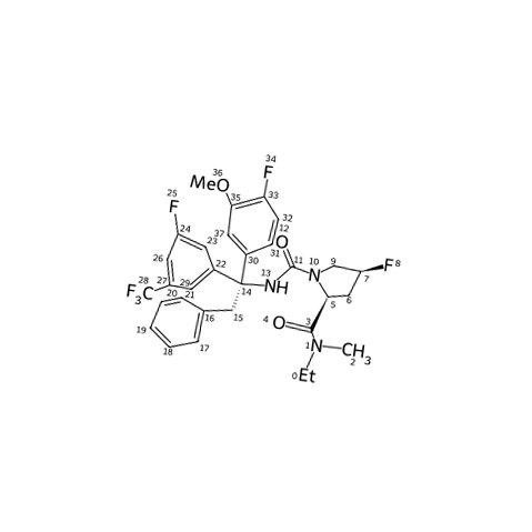 CCN(C)C(=O)[C@@H]1C[C@H](F)CN1C(=O)N[C@@](Cc1ccccc1)(c1cc(F)cc(C(F)(F)F)c1)c1ccc(F)c(OC)c1